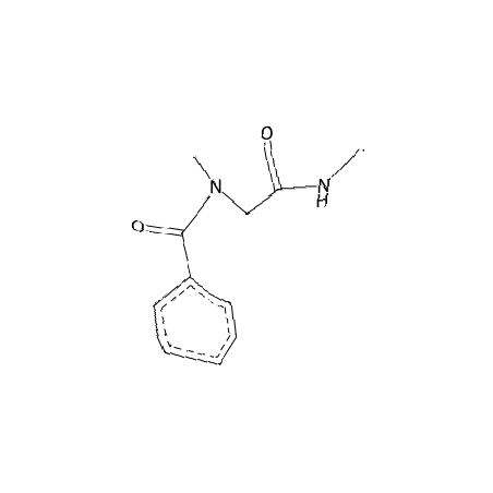 [CH2]NC(=O)CN(C)C(=O)c1ccccc1